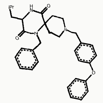 CC(C)CC1NC(=O)C2(CCN(Cc3ccc(Oc4ccccc4)cc3)CC2)N(Cc2ccccc2)C1=O